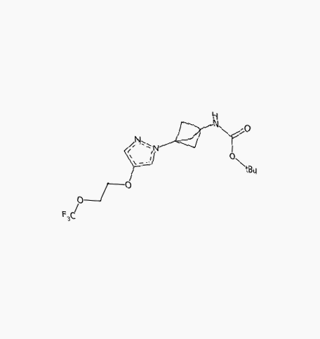 CC(C)(C)OC(=O)NC12CC(n3cc(OCCOC(F)(F)F)cn3)(C1)C2